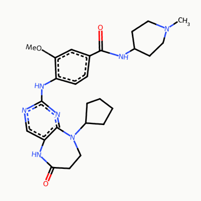 COc1cc(C(=O)NC2CCN(C)CC2)ccc1Nc1ncc2c(n1)N(C1CCCC1)CCC(=O)N2